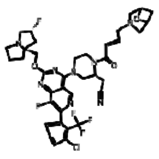 N#CC[C@H]1CN(c2nc(OC[C@@]34CCCN3C[C@H](F)C4)nc3c(F)c(-c4cccc(Cl)c4C(F)(F)F)ncc23)CCN1C(=O)/C=C/CN1CC2CC(C1)O2